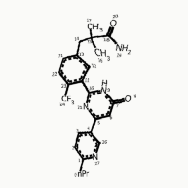 CCCc1ccc(-c2cc(=O)[nH]c(-c3cc(CC(C)(C)C(N)=O)ccc3C(F)(F)F)n2)cn1